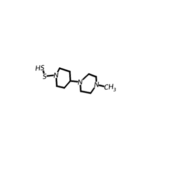 CN1CCN(C2CCN(SS)CC2)CC1